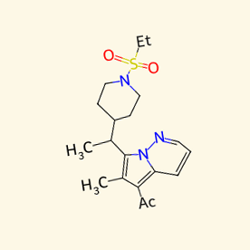 CCS(=O)(=O)N1CCC(C(C)c2c(C)c(C(C)=O)c3cccnn23)CC1